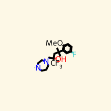 COc1ccc(F)cc1C(C)(C)CC(O)(CN1CCC[N]CC1)C(F)(F)F